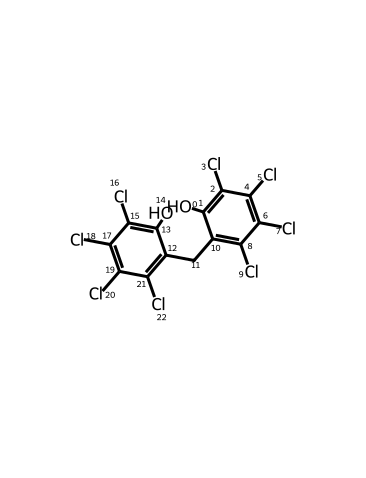 Oc1c(Cl)c(Cl)c(Cl)c(Cl)c1Cc1c(O)c(Cl)c(Cl)c(Cl)c1Cl